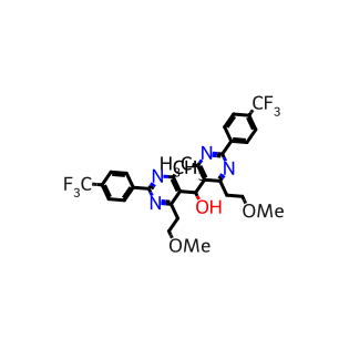 COCCc1nc(-c2ccc(C(F)(F)F)cc2)nc(C)c1C(O)c1c(C)nc(-c2ccc(C(F)(F)F)cc2)nc1CCOC